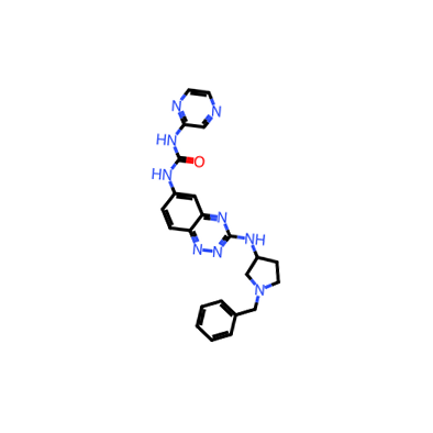 O=C(Nc1ccc2nnc(NC3CCN(Cc4ccccc4)C3)nc2c1)Nc1cnccn1